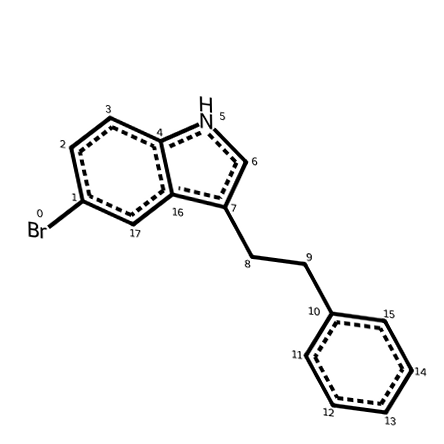 Brc1ccc2[nH]cc(CCc3ccccc3)c2c1